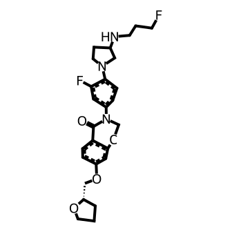 O=C1c2ccc(OC[C@@H]3CCCO3)cc2CCN1c1ccc(N2CCC(NCCCF)C2)c(F)c1